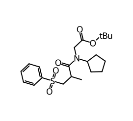 CC(CS(=O)(=O)c1ccccc1)C(=O)N(CC(=O)OC(C)(C)C)C1CCCC1